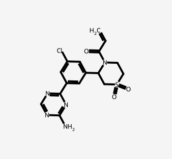 C=CC(=O)N1CCS(=O)(=O)CC1c1cc(Cl)cc(-c2ncnc(N)n2)c1